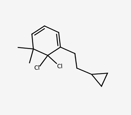 CC1(C)C=CC=C(CCC2CC2)C1(Cl)Cl